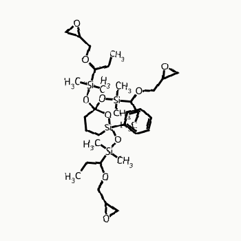 CCC(OCC1CO1)[Si](C)(C)OC1(O[Si](C)(C)C(CC)OCC2CO2)CCC[Si](O[Si](C)(C)C(CC)OCC2CO2)(c2ccccc2)O1